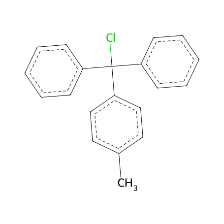 Cc1ccc(C(Cl)(c2ccccc2)c2ccccc2)cc1